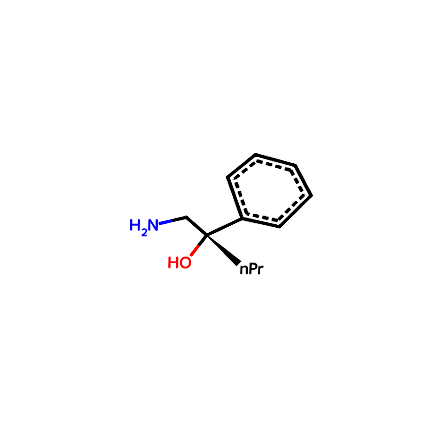 CCC[C@@](O)(CN)c1ccccc1